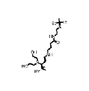 CCC(C)(CC)SCCNC(=O)CCCNC=CC([C@H](C)C(C)C)N(CCO)CCO